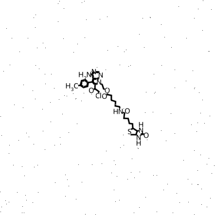 Cc1ccc(-c2c(C(=O)CCl)n(CCOC(=O)CCCCCNC(=O)CCCCC3SCC4NC(=O)NC43)c3ncnc(N)c23)cc1